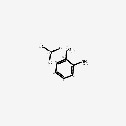 CCN(CC)CC.Nc1ccccc1C(=O)O